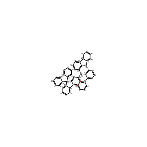 c1ccc(-c2ccccc2N(c2ccc3c(c2)C2(c4ccccc4-c4ccccc42)c2ccccc2-3)c2cccc3c2sc2ccccc23)cc1